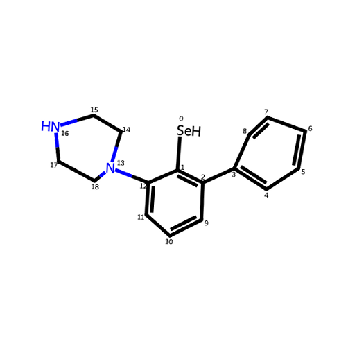 [SeH]c1c(-c2ccccc2)cccc1N1CCNCC1